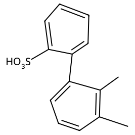 Cc1cccc(-c2ccccc2S(=O)(=O)O)c1C